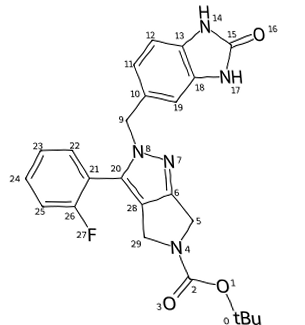 CC(C)(C)OC(=O)N1Cc2nn(Cc3ccc4[nH]c(=O)[nH]c4c3)c(-c3ccccc3F)c2C1